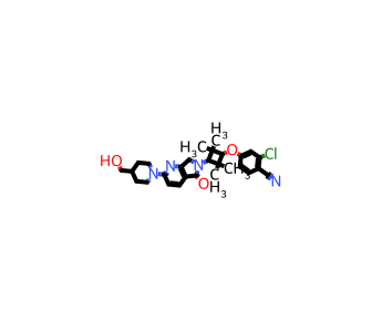 CC1(C)C(Oc2ccc(C#N)c(Cl)c2)C(C)(C)C1N1Cc2nc(N3CCC(CO)CC3)ccc2C1=O